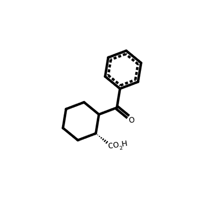 O=C(c1ccccc1)C1CCCC[C@H]1C(=O)O